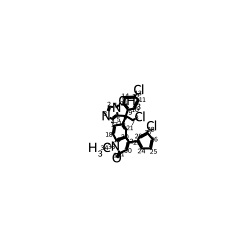 Cn1cncc1C(CCl)(c1ccc(Cl)cc1)c1ccc2c(c1)c(-c1cccc(Cl)c1)cc(=O)n2C